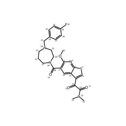 COc1nc2scc(C(=O)C(=O)N(C)C)c2cc1C(=O)N1CCCN(Cc2ccc(F)cc2)CC1